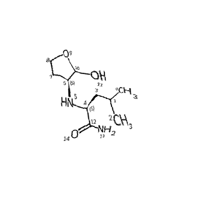 CC(C)C[C@H](N[C@H]1CCOC1O)C(N)=O